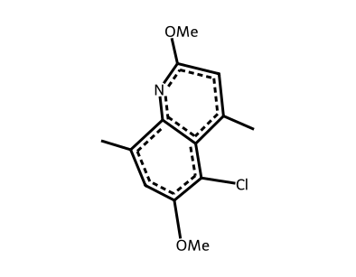 COc1cc(C)c2c(Cl)c(OC)cc(C)c2n1